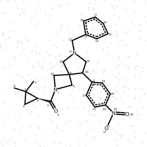 CC1(C)C[C@@H]1C(=O)N1CC2(CN(Cc3ccccc3)CC2c2ccc([N+](=O)[O-])cc2)C1